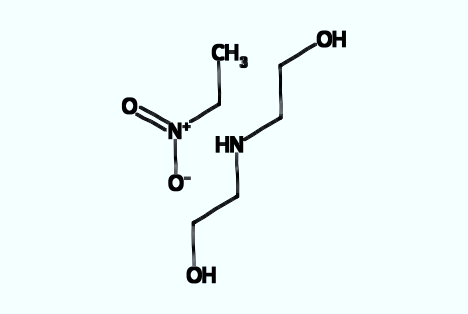 CC[N+](=O)[O-].OCCNCCO